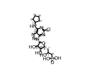 O=P(O)(O)CC(O)C[C@H]1O[C@@H](n2nnc3c(NC4CCCC4)nc(Cl)nc32)[C@H](O)[C@@H]1O